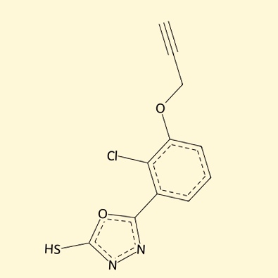 C#CCOc1cccc(-c2nnc(S)o2)c1Cl